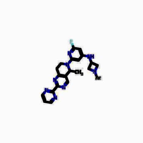 CC(=O)N1CC(Nc2cc(F)nc(N3CCc4nc(-c5ncccn5)ncc4C3C)c2)C1